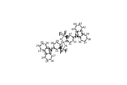 FC(F)(F)CC(CC(F)(F)F)(c1ccc(-n2c3ccccc3c3ccccc32)cc1)c1ccc(-n2c3ccccc3c3ccccc32)cc1